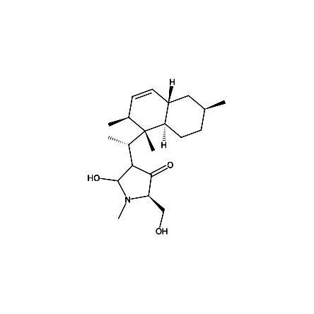 C[C@H]1CC[C@@H]2[C@H](C=C[C@H](C)[C@@]2(C)[C@@H](C)C2C(=O)[C@@H](CO)N(C)C2O)C1